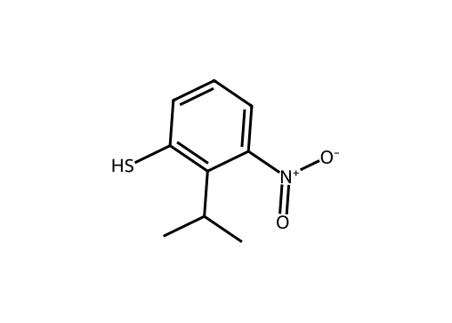 CC(C)c1c(S)cccc1[N+](=O)[O-]